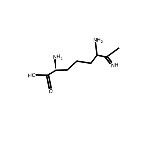 CC(=N)C(N)CCC[C@H](N)C(=O)O